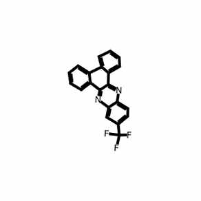 FC(F)(F)c1ccc2nc3c4ccccc4c4ccccc4c3nc2c1